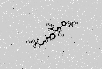 C[C@H](OCC[C@H](C)NC(=O)OC(C)(C)C)c1cc(N(C(=O)OC(C)(C)C)c2cc([C@H]3CC[C@@H](O[Si](C)(C)C(C)(C)C)C3)nn2C(C)(C)C)ccn1